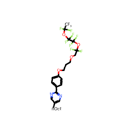 CCCCCCCCc1cnc(-c2ccc(OCCCOCC(F)(F)OC(F)(F)C(F)(F)OC(F)(F)C(F)(F)F)cc2)nc1